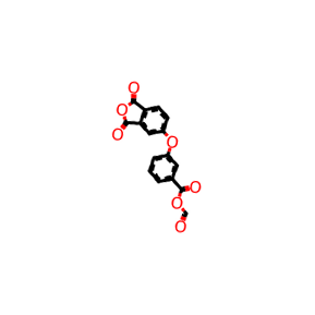 O=COC(=O)c1cccc(Oc2ccc3c(c2)C(=O)OC3=O)c1